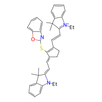 CCN1/C(=C/C=C2\CCC(/C=C/C3=[N+](CC)c4ccccc4C3(C)C)=C2Sc2nc3ccccc3o2)C(C)(C)c2ccccc21